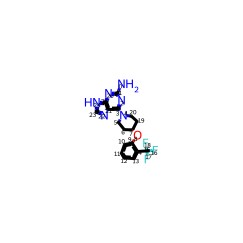 Nc1nc(N2CCC(Oc3ccccc3C(F)(F)F)CC2)c2nc[nH]c2n1